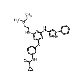 CCN(C)CCNc1nc(Nc2cc(-c3ccccc3)[nH]n2)nc(Sc2cccc(NC(=O)C3CC3)c2)n1